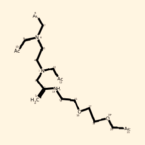 C=C(CN(CCN(CC(C)=O)CC(C)=O)CC(C)=O)NCCOCCOCC(C)=O